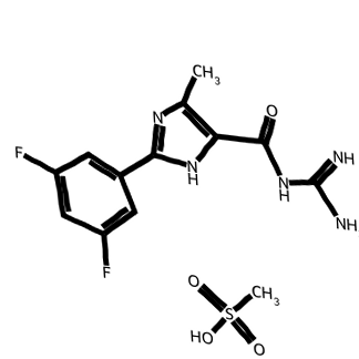 CS(=O)(=O)O.Cc1nc(-c2cc(F)cc(F)c2)[nH]c1C(=O)NC(=N)N